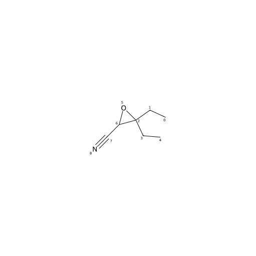 CCC1(CC)OC1C#N